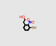 O=[N+]([O-])c1c(S)cccc1CCO